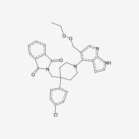 CCOOCc1cnc2[nH]ccc2c1N1CCC(CN2C(=O)c3ccccc3C2=O)(c2ccc(Cl)cc2)CC1